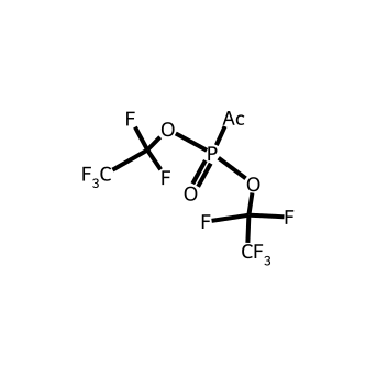 CC(=O)P(=O)(OC(F)(F)C(F)(F)F)OC(F)(F)C(F)(F)F